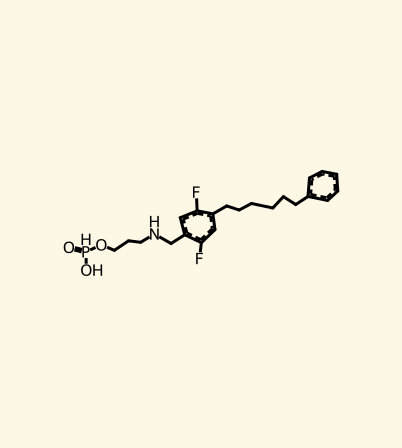 O=[PH](O)OCCCNCc1cc(F)c(CCCCCCc2ccccc2)cc1F